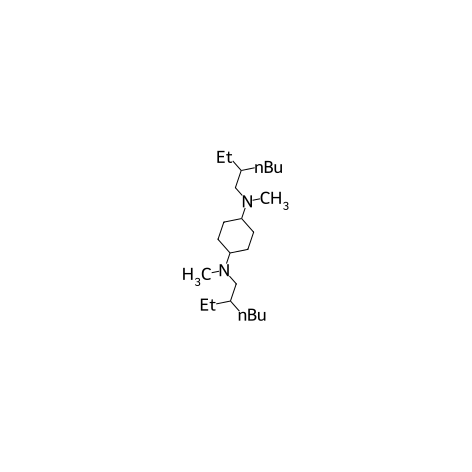 CCCCC(CC)CN(C)C1CCC(N(C)CC(CC)CCCC)CC1